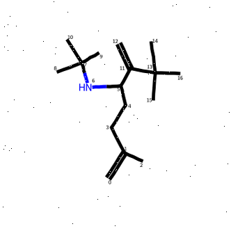 C=C(C)CCC(NC(C)(C)C)C(=C)C(C)(C)C